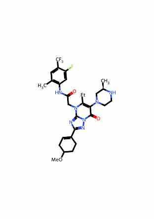 CCc1c(N2CCN[C@H](C)C2)c(=O)n2nc(C3=CCC(OC)CC3)nc2n1CC(=O)Nc1cc(F)c(C(F)(F)F)cc1C